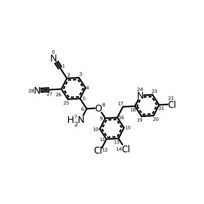 N#Cc1ccc(C(N)Oc2cc(Cl)c(Cl)cc2Cc2ccc(Cl)cn2)cc1C#N